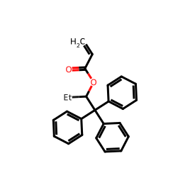 C=CC(=O)OC(CC)C(c1ccccc1)(c1ccccc1)c1ccccc1